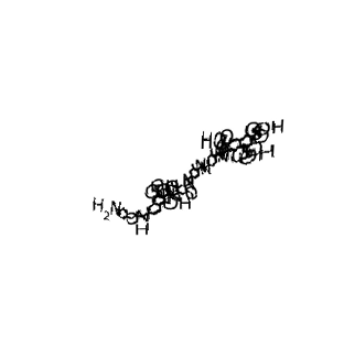 COc1cc(N=Nc2c(S(=O)(=O)O)cc3cc(NCOc4ccc(N)cc4)ccc3c2O)c(OC)cc1N=Nc1ccc(N=Nc2ccc(N=Nc3cc4c(S(=O)(=O)O)cc(S(=O)(=O)O)cc4cc3S(=O)(=O)O)c(C)c2)c(C)c1